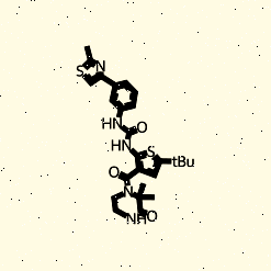 Cc1nc(-c2cccc(NC(=O)Nc3sc(C(C)(C)C)cc3C(=O)N3CCNC(=O)C3(C)C)c2)cs1